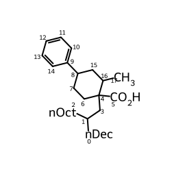 CCCCCCCCCCC(CCCCCCCC)CC1(C(=O)O)CCC(c2ccccc2)CC1C